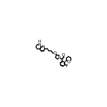 O=C[C@@H](c1cccc(F)c1[C@H]1CCCCO1)N1CC[C@@H](OCCCCc2ccc3c(n2)NCCC3)C1